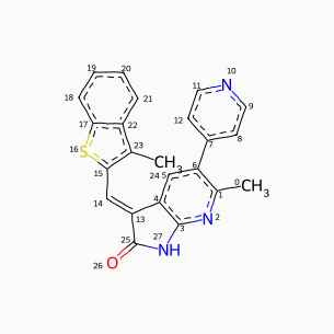 Cc1nc2c(cc1-c1ccncc1)C(=Cc1sc3ccccc3c1C)C(=O)N2